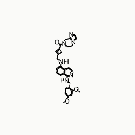 COc1ccc(CNc2nccc3c(NCC45CC(C(=O)N6CCn7ccnc7C6)(C4)C5)cccc23)c(OC)c1